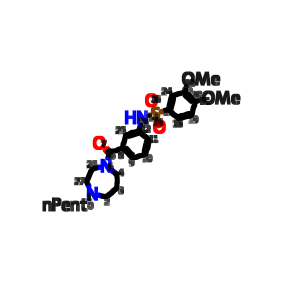 CCCCCN1CCCN(C(=O)c2cccc(NS(=O)(=O)c3ccc(OC)c(OC)c3)c2)CC1